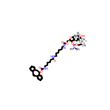 B[C@@H]1O[C@H](COC(=O)NCCCCCCNC(=O)CCCCCNC(=O)OC2Cc3ccccc3C#Cc3ccccc32)C(OP(OCCC#N)N(C(C)C)C(C)C)[C@@H]1CC(C)(C)[Si](C)(C)O